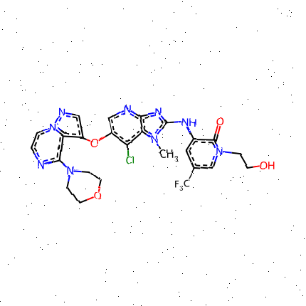 Cn1c(Nc2cc(C(F)(F)F)cn(CCO)c2=O)nc2ncc(Oc3cnn4ccnc(N5CCOCC5)c34)c(Cl)c21